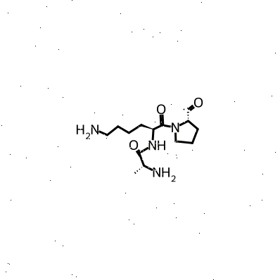 C[C@@H](N)C(=O)N[C@@H](CCCCN)C(=O)N1CCC[C@H]1[C]=O